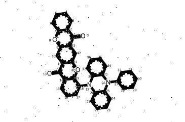 O=c1c2ccccc2oc2cc3c(=O)c4cccc(N5c6ccccc6N(c6ccccc6)c6ccccc65)c4oc3cc12